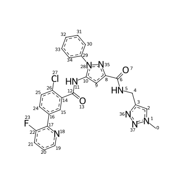 Cn1cc(CNC(=O)c2cc(NC(=O)c3cc(-c4ncccc4F)ccc3Cl)n(-c3ccccc3)n2)nn1